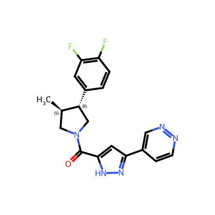 C[C@@H]1CN(C(=O)c2cc(-c3ccnnc3)n[nH]2)C[C@H]1c1ccc(F)c(F)c1